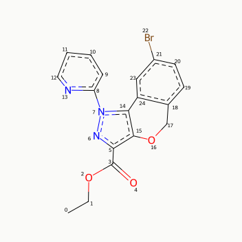 CCOC(=O)c1nn(-c2ccccn2)c2c1OCc1ccc(Br)cc1-2